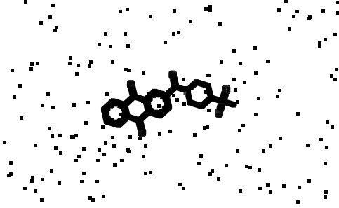 CS(=O)(=O)C1CCN(C(=O)c2ccc3c(c2)C(=O)c2ccccc2C3=O)CC1